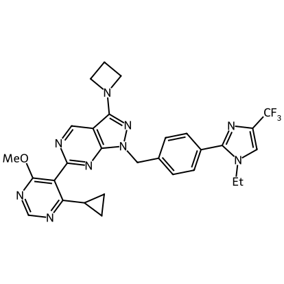 CCn1cc(C(F)(F)F)nc1-c1ccc(Cn2nc(N3CCC3)c3cnc(-c4c(OC)ncnc4C4CC4)nc32)cc1